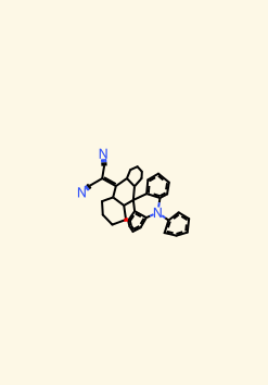 N#CC(C#N)=C1C2CCCCC2C2(c3ccccc3N(c3ccccc3)c3ccccc32)C2CCCCC12